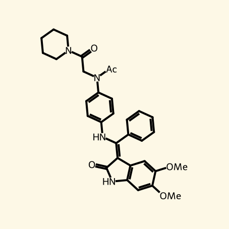 COc1cc2c(cc1OC)/C(=C(/Nc1ccc(N(CC(=O)N3CCCCC3)C(C)=O)cc1)c1ccccc1)C(=O)N2